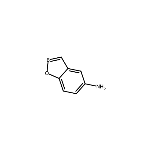 Nc1ccc2obcc2c1